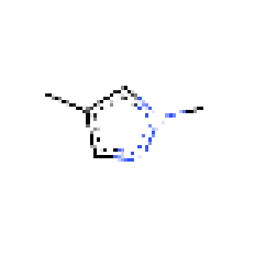 [CH2]n1cc(C)cn1